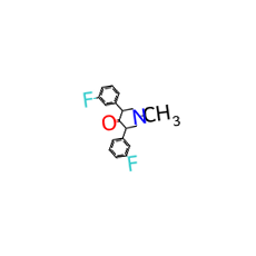 CN1CC(c2cccc(F)c2)C(=O)C(c2cccc(F)c2)C1